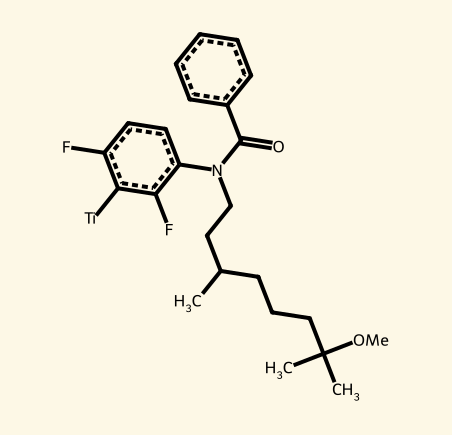 COC(C)(C)CCCC(C)CCN(C(=O)c1ccccc1)c1ccc(F)[c]([Ti])c1F